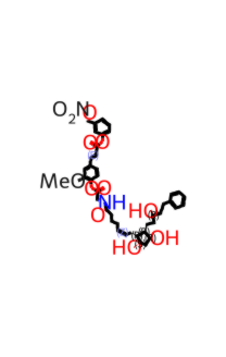 COc1cc(/C=C/C(=O)Oc2cccc(CO[N+](=O)[O-])c2)ccc1OC(=O)CNC(=O)CCC/C=C\C[C@@H]1[C@@H](CC[C@@H](O)CCc2ccccc2)[C@H](O)C[C@@H]1O